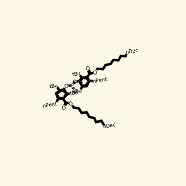 CCCCCCCCCCCCCCCCCCOC(=O)c1c(CCCCC)cc(C(C)(C)C)c(OP(Cl)Oc2c(C(C)(C)C)cc(CCCCC)c(C(=O)OCCCCCCCCCCCCCCCCCC)c2C(C)(C)C)c1C(C)(C)C